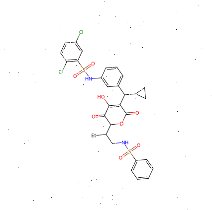 CCC(CNS(=O)(=O)c1ccccc1)C1OC(=O)C(C(c2cccc(NS(=O)(=O)c3cc(Cl)ccc3Cl)c2)C2CC2)=C(O)C1=O